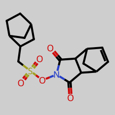 O=C1C2C3C=CC(C3)C2C(=O)N1OS(=O)(=O)CC1CC2CCC1C2